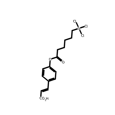 O=C(O)/C=C/c1ccc(OC(=O)CCCCC[Si](Cl)(Cl)Cl)cc1